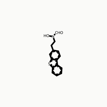 O=CN(O)CCc1ccc2c(c1)sc1ccccc12